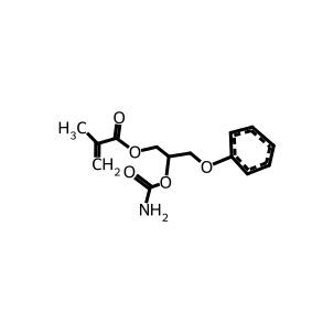 C=C(C)C(=O)OCC(COc1ccccc1)OC(N)=O